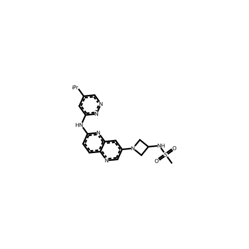 CC(C)c1cnnc(Nc2ccc3ncc(N4CC(NS(C)(=O)=O)C4)cc3n2)c1